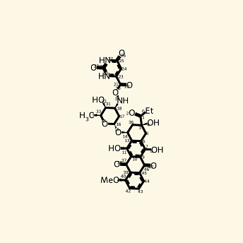 CCC(=O)[C@]1(O)Cc2c(O)c3c(c(O)c2[C@@H](O[C@H]2C[C@H](NOC(=O)c4cc(=O)[nH]c(=O)[nH]4)[C@H](O)[C@H](C)O2)C1)C(=O)c1c(OC)cccc1C3=O